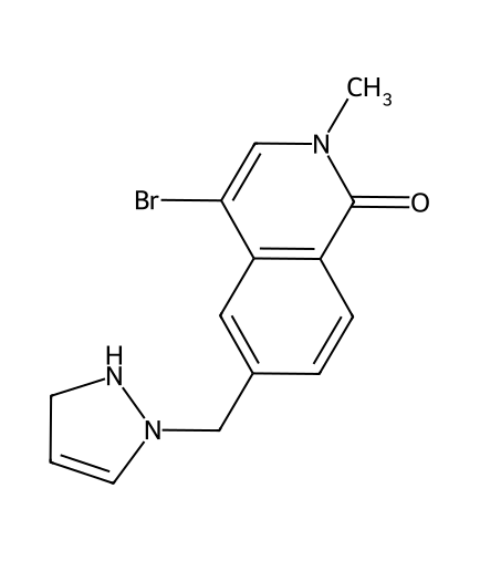 Cn1cc(Br)c2cc(CN3C=CCN3)ccc2c1=O